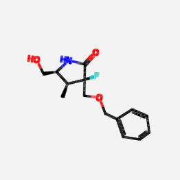 C[C@H]1[C@@H](CO)NC(=O)[C@]1(F)COCc1ccccc1